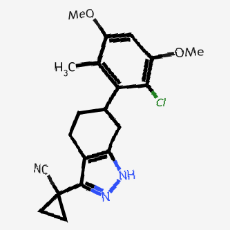 COc1cc(OC)c(Cl)c(C2CCc3c(C4(C#N)CC4)n[nH]c3C2)c1C